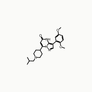 COc1ccc(OC)c(-c2cnn3c(C4CCN(C[C](C)C)CC4)cc(=O)[nH]c23)c1